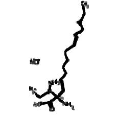 CCCCCCCCCCCC[C@](N)(C(=O)O)N(N)CC.Cl